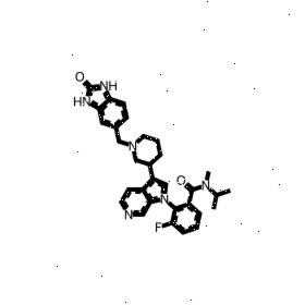 CC(C)N(C)C(=O)c1cccc(F)c1-n1cc(C2CCCN(Cc3ccc4[nH]c(=O)[nH]c4c3)C2)c2ccncc21